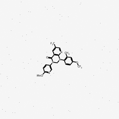 COc1ccc(N2CN(c3ccc(OC(F)(F)F)cc3C)c3ncc(C(F)(F)F)cc3C2=O)cn1